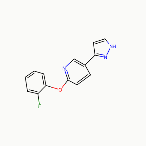 Fc1ccccc1Oc1ccc(-c2cc[nH]n2)cn1